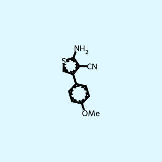 COc1ccc(-c2csc(N)c2C#N)cc1